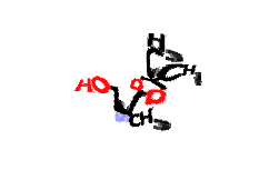 C/C(=C/CO)C1OCC(C)(C)CO1